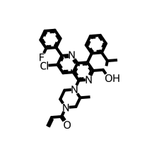 C=CC(=O)N1CCN(c2nc(CO)c(-c3ccccc3C(C)C)c3nc(-c4ccccc4F)c(Cl)cc23)C(C)C1